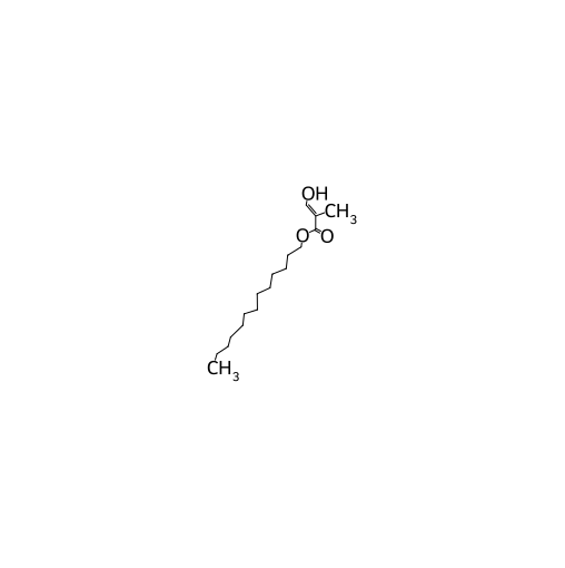 CCCCCCCCCCCCCOC(=O)C(C)=CO